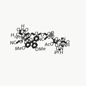 COc1ccc(C(OC[C@]2(C(O)P(OCCC#N)N(C(C)C)C(C)C)CN(CCOCCOCCOP(=O)(OCCC#N)OC[C@H]3O[C@@H](n4cnc5c(=O)[nH]c(NC(=O)C(C)C)nc54)[C@H](OC(C)=O)[C@@H]3OC(C)=O)C[C@H](n3cc(C)c(=O)[nH]c3=O)O2)(c2ccccc2)c2ccc(OC)cc2)cc1